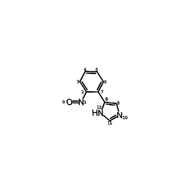 O=Nc1ccccc1-c1cnc[nH]1